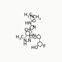 Cc1cc2c(cc1-c1cncc(NC(=O)CN(C)C)c1)C(c1cc3c(-c4cc(O)cc(F)c4)cccc3[nH]1)=NCN[C@@H]2C